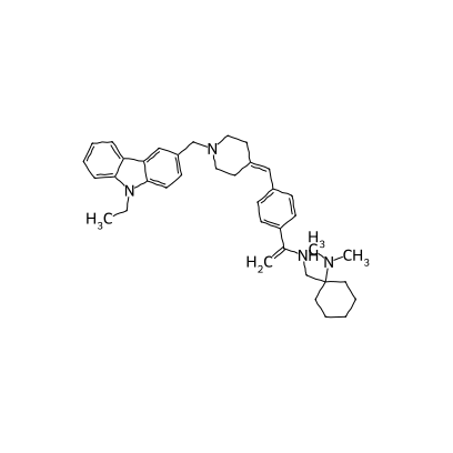 C=C(NCC1(N(C)C)CCCCC1)c1ccc(C=C2CCN(Cc3ccc4c(c3)c3ccccc3n4CC)CC2)cc1